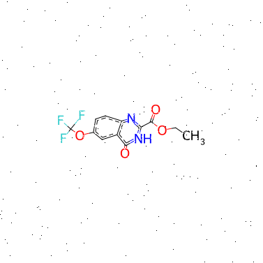 CCOC(=O)c1nc2ccc(OC(F)(F)F)cc2c(=O)[nH]1